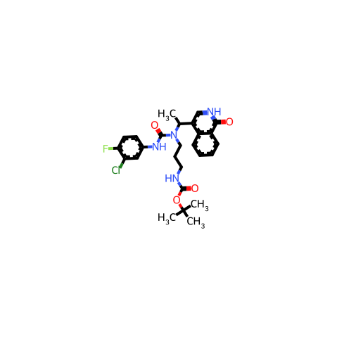 CC(c1c[nH]c(=O)c2ccccc12)N(CCCNC(=O)OC(C)(C)C)C(=O)Nc1ccc(F)c(Cl)c1